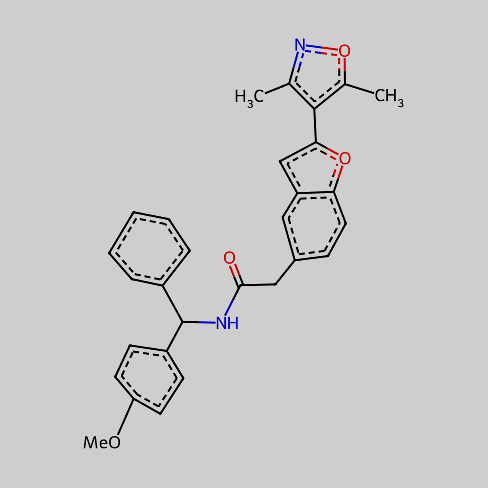 COc1ccc(C(NC(=O)Cc2ccc3oc(-c4c(C)noc4C)cc3c2)c2ccccc2)cc1